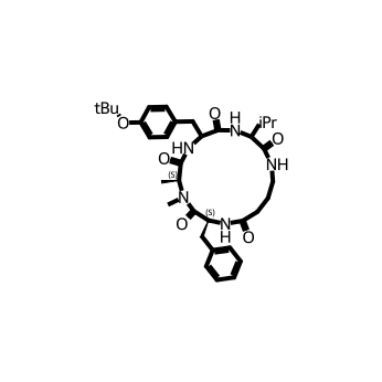 CC(C)C1NC(=O)C(Cc2ccc(OC(C)(C)C)cc2)NC(=O)[C@H](C)N(C)C(=O)[C@H](Cc2ccccc2)NC(=O)CCCNC1=O